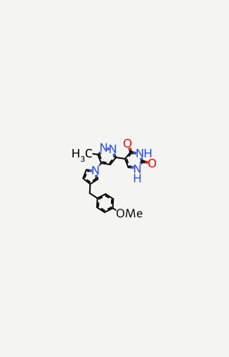 COc1ccc(Cc2ccn(-c3cc(-c4c[nH]c(=O)[nH]c4=O)nnc3C)c2)cc1